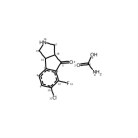 NC(=O)O.O=C1c2c(ccc(Cl)c2F)C2CNCC12